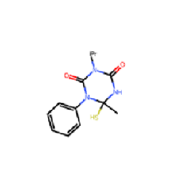 CC(C)N1C(=O)NC(C)(S)N(c2ccccc2)C1=O